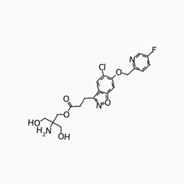 NC(CO)(CO)COC(=O)CCc1noc2cc(OCc3ccc(F)cn3)c(Cl)cc12